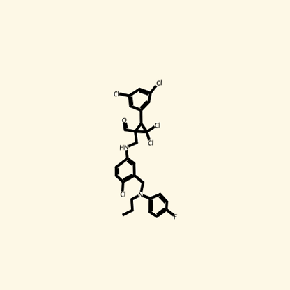 CCCN(Cc1cc(NCC2(C=O)C(c3cc(Cl)cc(Cl)c3)C2(Cl)Cl)ccc1Cl)c1ccc(F)cc1